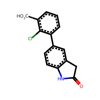 O=C1Cc2cc(-c3cccc(C(=O)O)c3Cl)ccc2N1